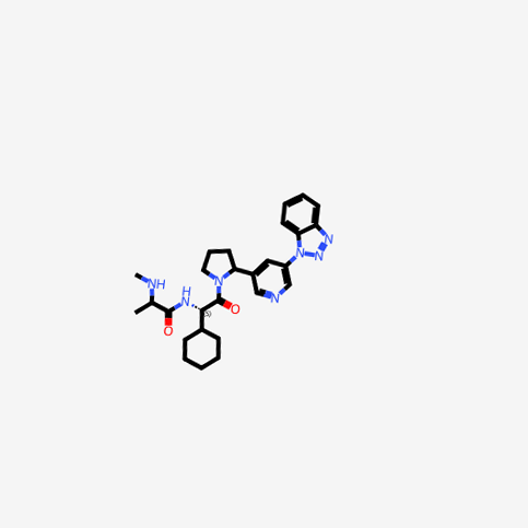 CNC(C)C(=O)N[C@H](C(=O)N1CCCC1c1cncc(-n2nnc3ccccc32)c1)C1CCCCC1